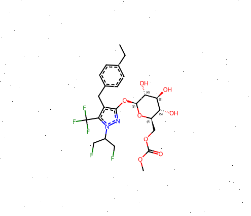 CCc1ccc(Cc2c(O[C@@H]3O[C@H](COC(=O)OC)[C@@H](O)[C@H](O)[C@H]3O)nn(C(CF)CF)c2C(F)(F)F)cc1